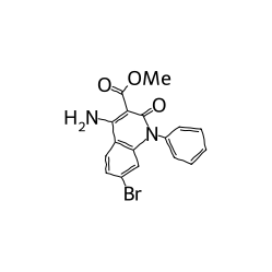 COC(=O)c1c(N)c2ccc(Br)cc2n(-c2ccccc2)c1=O